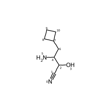 N#CC(O)C(N)CC1CCC1